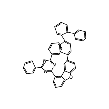 c1ccc(-c2nc(-c3ccccc3)nc(-c3cccc4oc5ccc(-c6ccc(-c7ccccc7-c7ccccc7)cc6)cc5c34)n2)cc1